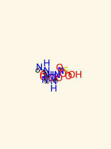 CN[C@H](C(=O)N[C@H](C(=O)N(C)[C@H](/C=C(\C)C(=O)N[C@H](C)CC(=O)NCCN1C(=O)CC(SCCC(=O)O)C1=O)C(C)C)C(C)(C)C)C(C)(C)c1cn(C)c2ccccc12